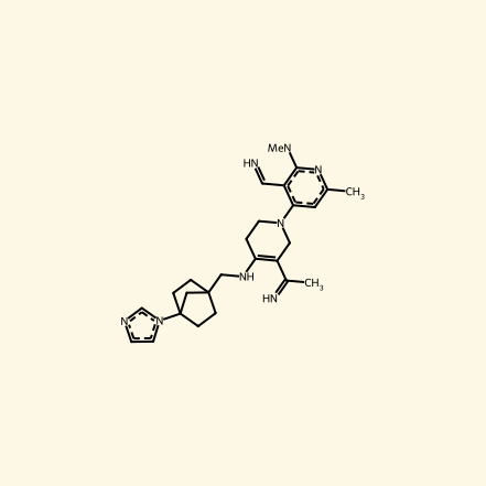 CNc1nc(C)cc(N2CCC(NCC34CCC(n5ccnc5)(CC3)C4)=C(C(C)=N)C2)c1C=N